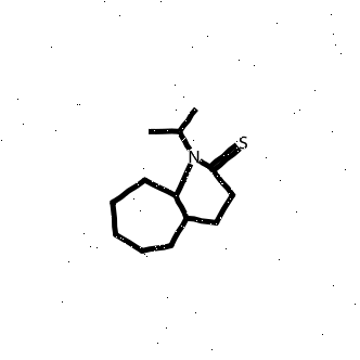 CC(C)N1C(=S)CCC2CCCCCC21